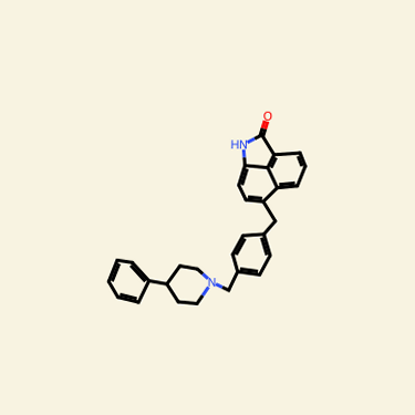 O=C1Nc2ccc(Cc3ccc(CN4CCC(c5ccccc5)CC4)cc3)c3cccc1c23